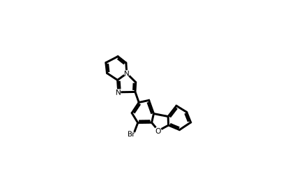 Brc1cc(-c2cn3ccccc3n2)cc2c1oc1ccccc12